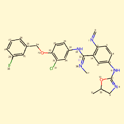 C=Nc1ccc(NC2=NCC(C)O2)cc1/C(=N\C)Nc1ccc(OCc2cccc(F)c2)c(Cl)c1